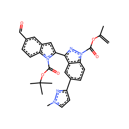 C=C(C)OC(=O)n1nc(-c2cc3cc(C=O)ccc3n2C(=O)OC(C)(C)C)c2cc(-c3ccn(C)n3)ccc21